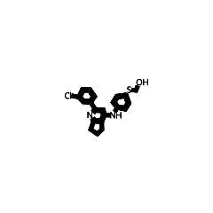 OCSc1ccc(Nc2cc(-c3cccc(Cl)c3)nc3c2CCC3)cc1